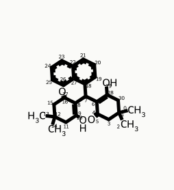 CC1(C)CC(=O)C(C(C2=C(O)CC(C)(C)CC2=O)c2cccc3ccccc23)=C(O)C1